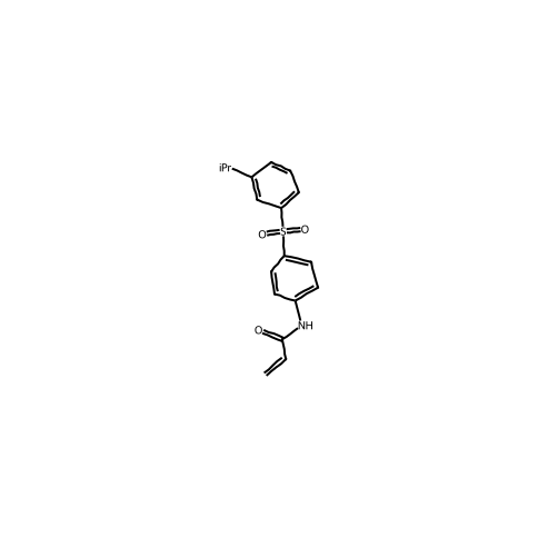 C=CC(=O)Nc1ccc(S(=O)(=O)c2cccc(C(C)C)c2)cc1